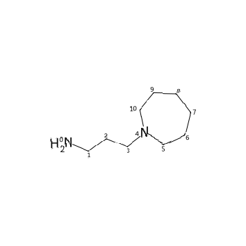 NCCCN1CCCCCC1